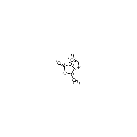 C=CF.CC1COC(=O)O1